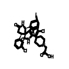 O=C(O)CN1CCC(Oc2ccc(I)cc2[C@H]2NC(=O)C[C@@H](c3cccc(Cl)c3)[C@]23C(=O)Nc2cc(Cl)ccc23)CC1